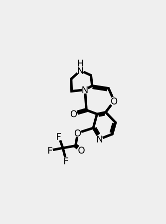 O=C1c2c(ccnc2OC(=O)C(F)(F)F)OC=C2CNCCN12